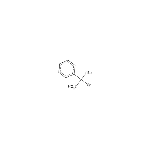 CCCCC(Br)(C(=O)O)c1ccccc1